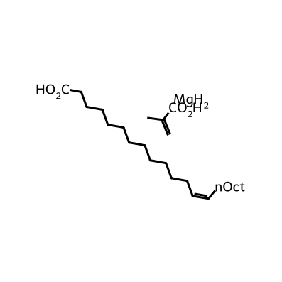 C=C(C)C(=O)O.CCCCCCCC/C=C\CCCCCCCCCCCC(=O)O.[MgH2]